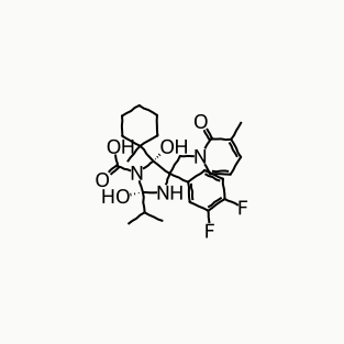 Cc1cccn(CC2(c3ccc(F)c(F)c3)N[C@@](O)(C(C)C)N(C(=O)O)[C@@]2(O)C2(C)CCCCC2)c1=O